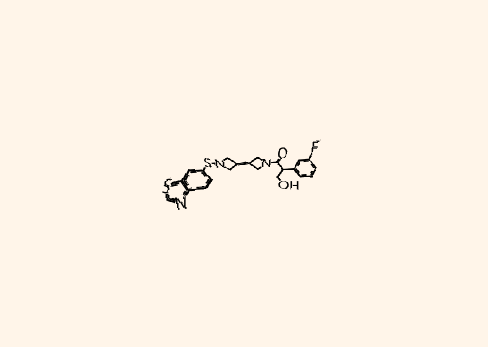 O=C(C(CO)c1cccc(F)c1)N1CC(=C2CN(Sc3ccc4ncsc4c3)C2)C1